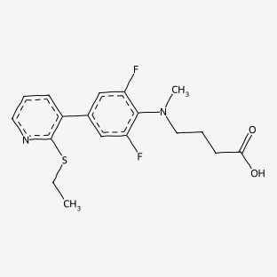 CCSc1ncccc1-c1cc(F)c(N(C)CCCC(=O)O)c(F)c1